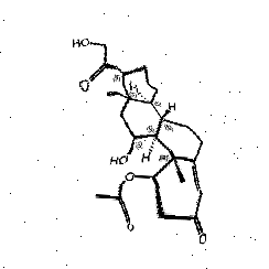 CC(=O)OC1CC(=O)C=C2CC[C@@H]3[C@H]([C@@H](O)C[C@]4(C)[C@@H](C(=O)CO)CC[C@@H]34)[C@]21C